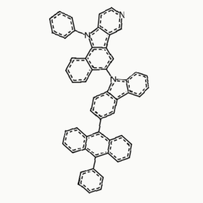 c1ccc(-c2c3ccccc3c(-c3ccc4c(c3)c3ccccc3n4-c3cc4c5cnccc5n(-c5ccccc5)c4c4ccccc34)c3ccccc23)cc1